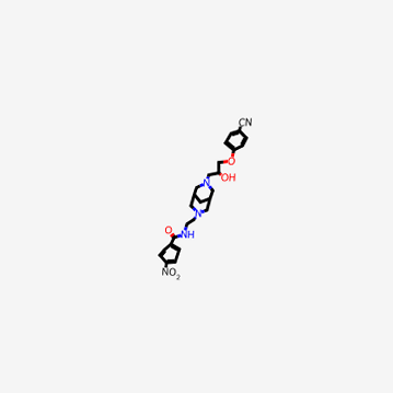 N#Cc1ccc(OCC(O)CN2CC3CC(CN(CCNC(=O)c4ccc([N+](=O)[O-])cc4)C3)C2)cc1